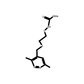 CNC(=O)NSCCSCc1cc(C)nnc1C